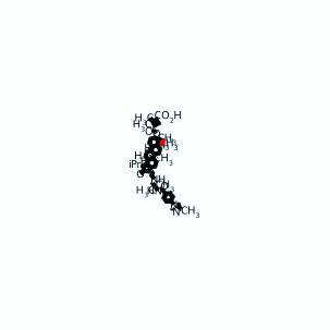 Cc1cn(-c2ccc(C(=O)NC(C)(C)CNCC[C@@]34CC[C@]5(C)[C@H](CC[C@@H]6[C@@]7(C)CC[C@H](OC(=O)[C@H]8C[C@@H](C(=O)O)C8(C)C)C(C)(C)[C@@H]7CC[C@]65C)C3=C(C(C)C)C(=O)C4)cc2)cn1